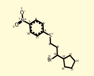 O=[N+]([O-])c1ccc(SCCC(Br)C2CCCC2)cc1